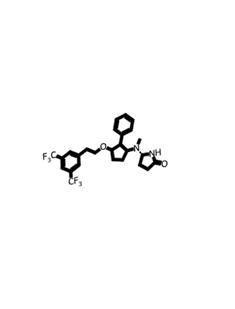 CN(C1CCC(OCCc2cc(C(F)(F)F)cc(C(F)(F)F)c2)C1c1ccccc1)[C@H]1CCC(=O)N1